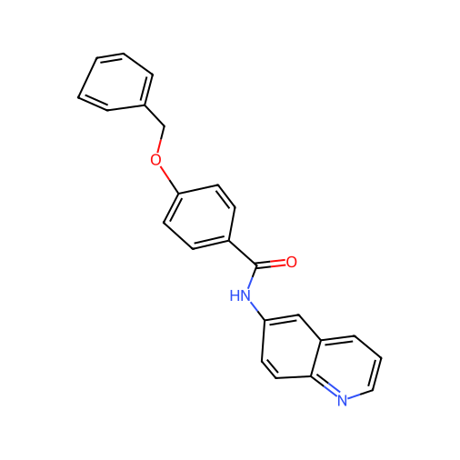 O=C(Nc1ccc2ncccc2c1)c1ccc(OCc2ccccc2)cc1